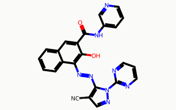 N#Cc1cnn(-c2ncccn2)c1/N=N/c1c(O)c(C(=O)Nc2cccnc2)cc2ccccc12